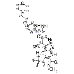 Cn1cc(C(F)(F)F)cc(Nc2nc3ncc(O/C(C=N)=C4\C=CC(OCCN5CCOCC5)=CN4)c(C#N)c3n2C)c1=O